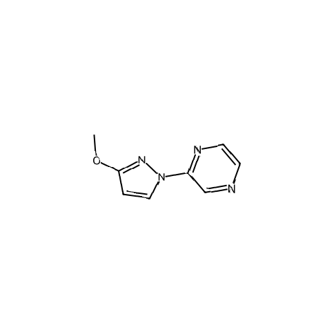 COc1ccn(-c2cnccn2)n1